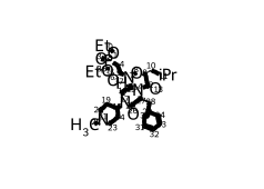 CCOP(=O)(CC(=O)N1O[C@H](CC(C)C)C(=O)N2[C@@H]1CN(C1CCN(C)CC1)C(=O)[C@@H]2Cc1ccccc1)OCC